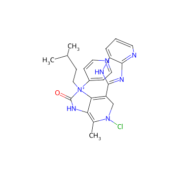 CC1=C2NC(=O)[N+](CCC(C)C)(c3ccncc3)C2=C(c2nc3ncccc3[nH]2)CN1Cl